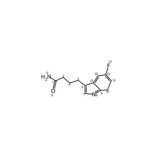 NC(=O)CCCC1=CN=C2CC=C(F)C=C12